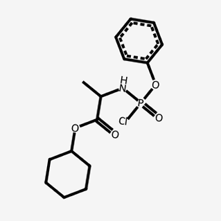 CC(NP(=O)(Cl)Oc1ccccc1)C(=O)OC1CCCCC1